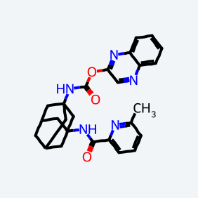 Cc1cccc(C(=O)NC23CC4CC(CC(NC(=O)Oc5cnc6ccccc6n5)(C4)C2)C3)n1